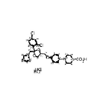 Cl.Cl.O=C(O)N1CCN(c2ccc(OCC3COC(Cn4cncn4)(c4ccc(Cl)cc4Cl)O3)cc2)CC1